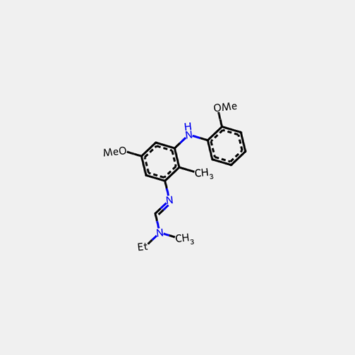 CCN(C)C=Nc1cc(OC)cc(Nc2ccccc2OC)c1C